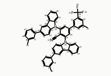 Cc1cccc(-c2ccc3c(c2)c2ccccc2n3-c2cc(-c3cc(C)cc(C(F)(F)F)c3)cc(-n3c4ccccc4c4cc(-c5cccc(C)c5)ccc43)c2C#N)c1